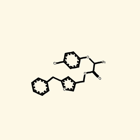 CC(C)C(Oc1ccc(Cl)cc1)C(=O)OCc1coc(Cc2ccccc2)c1